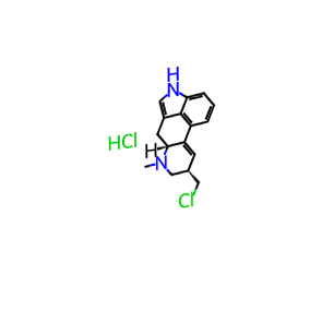 CN1C[C@H](CCl)C=C2c3cccc4[nH]cc(c34)C[C@H]21.Cl